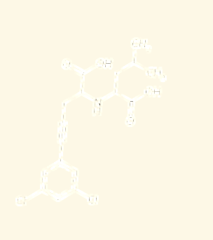 CC(C)CC(NC(CC#Cc1cc(Cl)cc(Cl)c1)C(=O)O)C(=O)O